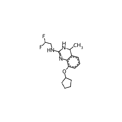 CC1NC(NCC(F)F)=Nc2c(OC3CCCC3)cccc21